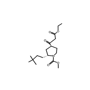 CCOC(=O)CC(=O)[C@H]1CCN(C(=O)OC)[C@H](CCC(C)(C)C)C1